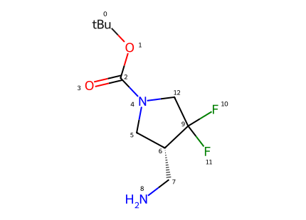 CC(C)(C)OC(=O)N1C[C@@H](CN)C(F)(F)C1